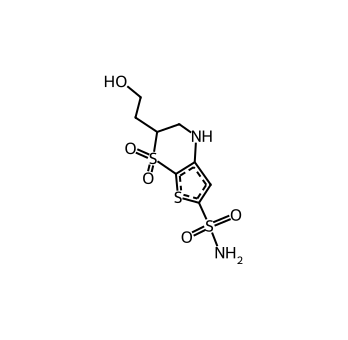 NS(=O)(=O)c1cc2c(s1)S(=O)(=O)C(CCO)CN2